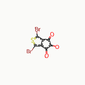 O=c1c(=O)c2c(Br)sc(Br)c2c1=O